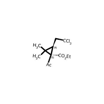 CCOC(=O)[C@@]1(C(C)=O)[C@H](CC(Cl)(Cl)Cl)C1(C)C